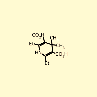 CCC1=C(C(=O)O)C(C)(C)C(C(=O)O)=C(CC)N1